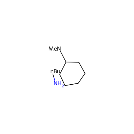 CCCCN.CNC1CCCCC1